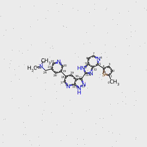 Cc1ccc(-c2nccc3[nH]c(-c4n[nH]c5ncc(-c6cncc(CN(C)C)c6)cc45)nc23)s1